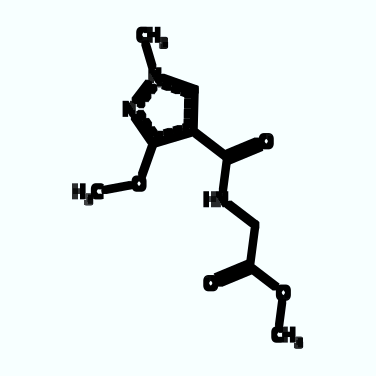 COC(=O)CNC(=O)c1cn(C)nc1OC